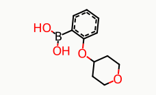 OB(O)c1ccccc1OC1CCOCC1